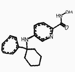 O=C(NO)c1ccc(NC2(c3ccccc3)CCCCC2)cn1